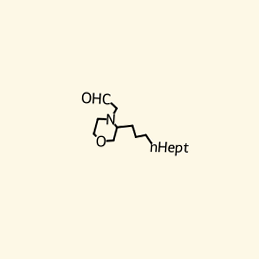 CCCCCCCCCCC1COCCN1CC=O